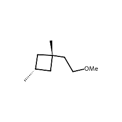 COCC[C@]1(C)C[C@H](C)C1